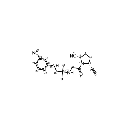 C#C[C@H]1CC[C@@H](C#N)N1C(=O)CNC(C)(C)CNc1cc(C#N)ccn1